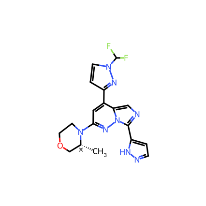 C[C@@H]1COCCN1c1cc(-c2ccn(C(F)F)n2)c2cnc(-c3ccn[nH]3)n2n1